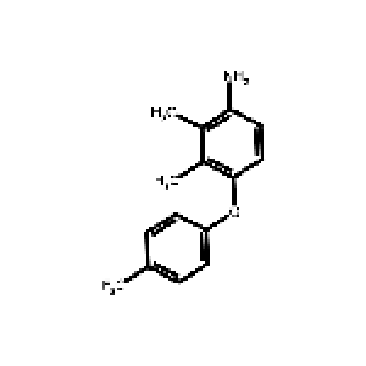 Cc1c(N)ccc(Oc2ccc(C(F)(F)F)cc2)c1C